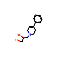 [O]CC(O)CN1CC=C(c2ccccc2)CC1